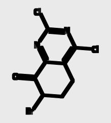 O=C1c2nc(Cl)nc(Cl)c2CCC1Br